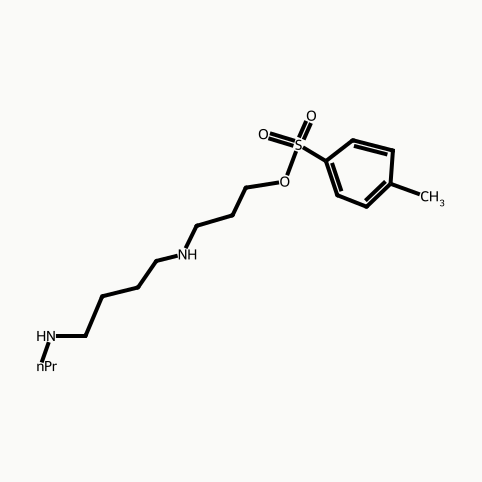 CCCNCCCCNCCCOS(=O)(=O)c1ccc(C)cc1